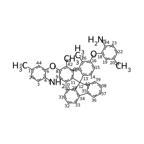 Cc1ccc(N)c(Oc2ccc(C3(c4ccc(Oc5cc(C)ccc5N)c(C)c4)c4ccccc4-c4ccccc43)cc2C)c1